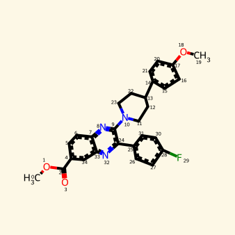 COC(=O)c1ccc2nc(N3CCC(c4ccc(OC)cc4)CC3)c(-c3ccc(F)cc3)nc2c1